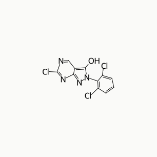 Oc1c2cnc(Cl)nc2nn1-c1c(Cl)cccc1Cl